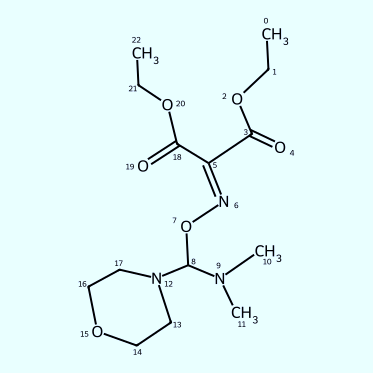 CCOC(=O)C(=NOC(N(C)C)N1CCOCC1)C(=O)OCC